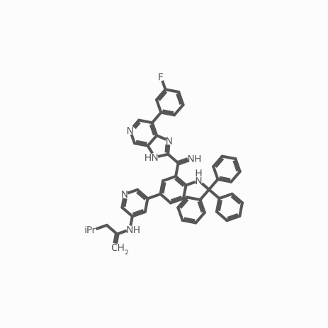 C=C(CC(C)C)Nc1cncc(-c2ccc(NC(c3ccccc3)(c3ccccc3)c3ccccc3)c(C(=N)c3nc4c(-c5cccc(F)c5)cncc4[nH]3)c2)c1